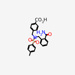 Cc1ccc(S(=O)(=O)N(Cc2ccc(C(=O)O)cc2)Cc2ccccc2C(N)=O)cc1